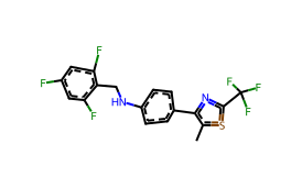 Cc1sc(C(F)(F)F)nc1-c1ccc(NCc2c(F)cc(F)cc2F)cc1